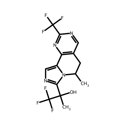 CC1Cc2cnc(C(F)(F)F)nc2-c2cnc(C(C)(O)C(F)(F)F)n21